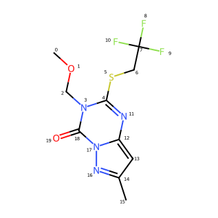 COCn1c(SCC(F)(F)F)nc2cc(C)nn2c1=O